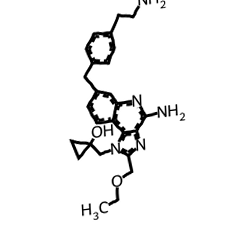 CCOCc1nc2c(N)nc3cc(Cc4ccc(CCN)cc4)ccc3c2n1CC1(O)CC1